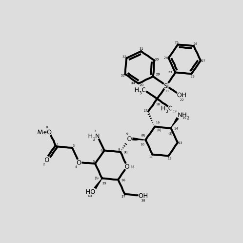 COC(=O)COC1C(N)[C@H](O[C@@H]2CCC[C@H](N)[C@H]2CC(C)(C)[Si](O)(c2ccccc2)c2ccccc2)OC(CO)[C@H]1O